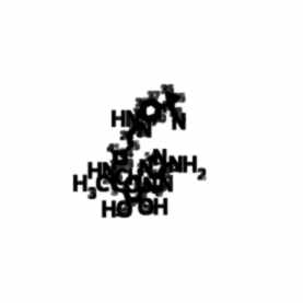 CC(C)(C[C@H]1O[C@@H](n2cnc3c(N)ncnc32)[C@H](O)[C@@H]1O)N[C@H]1C[C@H](CCc2nc3cc(C4(C#N)CC4)ccc3[nH]2)C1